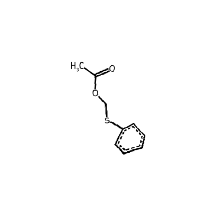 CC(=O)OCSc1ccccc1